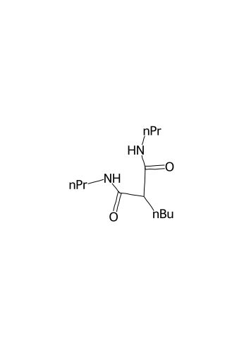 CCCCC(C(=O)NCCC)C(=O)NCCC